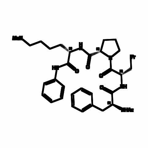 CNCCCC[C@H](NC(=O)[C@@H]1CCCN1C(=O)[C@H](CC(C)C)NC(=O)[C@H](Cc1ccccc1)NC(C)=O)C(=O)Nc1ccccc1